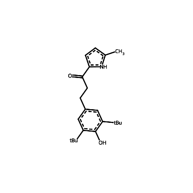 Cc1ccc(C(=O)CCc2cc(C(C)(C)C)c(O)c(C(C)(C)C)c2)[nH]1